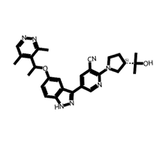 Cc1cnnc(C)c1C(C)Oc1ccc2[nH]nc(-c3cnc(N4CC[C@H](C(C)(C)O)C4)c(C#N)c3)c2c1